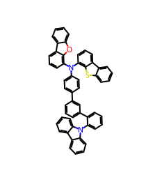 c1cc(-c2ccc(N(c3cccc4c3oc3ccccc34)c3cccc4c3sc3ccccc34)cc2)cc(-c2ccccc2-n2c3ccccc3c3ccccc32)c1